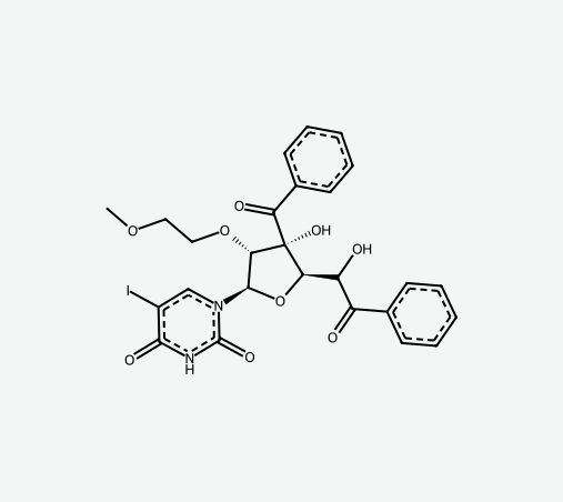 COCCO[C@H]1[C@H](n2cc(I)c(=O)[nH]c2=O)O[C@H](C(O)C(=O)c2ccccc2)[C@]1(O)C(=O)c1ccccc1